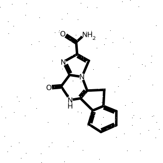 NC(=O)c1cn2c3c([nH]c(=O)c2n1)-c1ccccc1C3